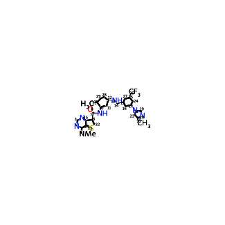 CNc1ncnc2c(C(=O)Nc3cc(NCc4cc(-n5cnc(C)c5)cc(C(F)(F)F)c4)ccc3C)csc12